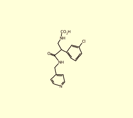 O=C(O)NCC(C(=O)NCc1ccncc1)c1cccc(Cl)c1